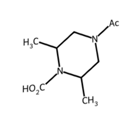 CC(=O)N1CC(C)N(C(=O)O)C(C)C1